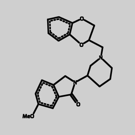 COc1ccc2c(c1)C(=O)N(C1CCCN(CC3COc4ccccc4O3)C1)C2